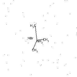 Br.CCCCCCCCCCCCCCCCCC(N)(CCCCCCCC)CCCCCCCCCCCC